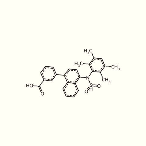 Cc1cc(C)c(C)c(N(c2ccc(-c3cccc(C(=O)O)c3)c3ccccc23)[SH](=O)=O)c1C